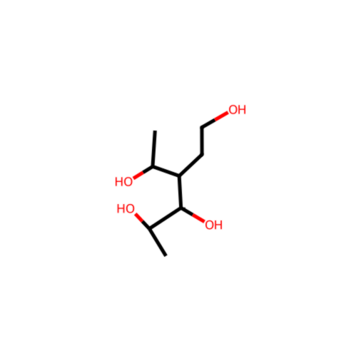 CC(O)[C](O)C(CCO)C(C)O